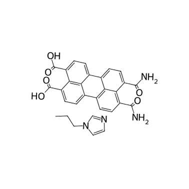 CCCn1ccnc1.NC(=O)c1ccc2c3ccc(C(=O)O)c4c(C(=O)O)ccc(c5ccc(C(N)=O)c1c25)c43